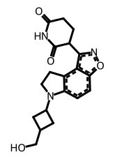 O=C1CCC(c2noc3ccc4c(c23)CCN4C2CC(CO)C2)C(=O)N1